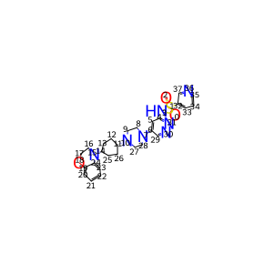 O=S(=O)(Nc1cc(N2CCN([C@H]3CC[C@@H](N4CCOc5ccccc54)CC3)CC2)cnn1)c1cccnc1